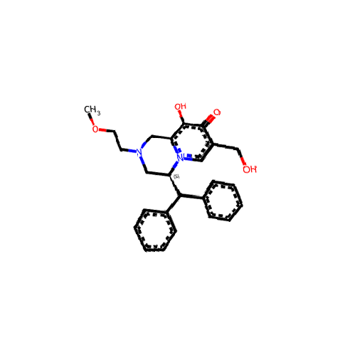 COCCN1Cc2c(O)c(=O)c(CO)cn2[C@@H](C(c2ccccc2)c2ccccc2)C1